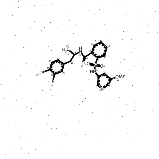 COc1cncc(NS(=O)(=O)c2ccccc2C(=O)NC(C)Cc2ccc(F)c(F)c2)c1